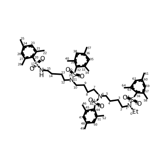 CCN(CCCCN(CCCCN(CCCCNS(=O)(=O)c1c(C)cc(C)cc1C)S(=O)(=O)c1c(C)cc(C)cc1C)S(=O)(=O)c1c(C)cc(C)cc1C)S(=O)(=O)c1c(C)cc(C)cc1C